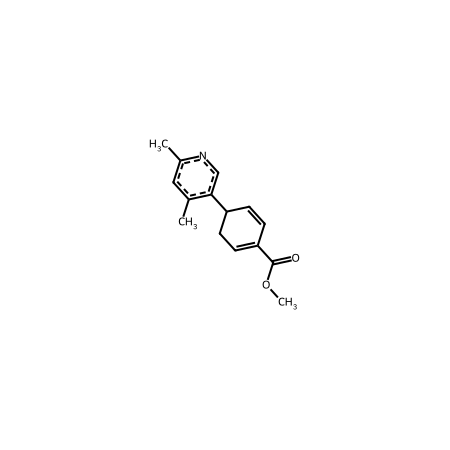 COC(=O)C1=CCC(c2cnc(C)cc2C)C=C1